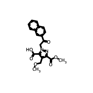 COCc1c(C(=O)OC)nn(CC(=O)c2ccc3ccccc3c2)c1C(=O)O